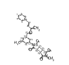 C=C(/C=C/c1ccccc1)OCc1cc(C)cc(N2C(=O)C3C4C(=O)N(C)C(=O)C4C3C2=O)c1